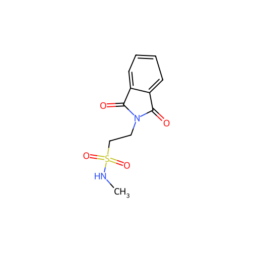 CNS(=O)(=O)CCN1C(=O)c2ccccc2C1=O